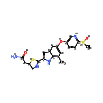 CC1=C2NC(C3=NCC(CC(N)=O)S3)=CC2CC(Oc2ccc([S+](C)[O-])nc2)=C1